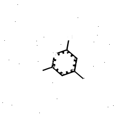 Cc1cc(I)cc(C(F)(F)F)n1